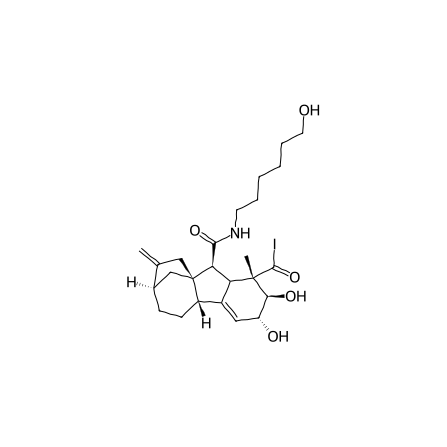 C=C1C[C@]23C[C@H]1CC[C@H]2C1=C[C@@H](O)[C@H](O)[C@@](C)(C(=O)I)C1[C@@H]3C(=O)NCCCCCCO